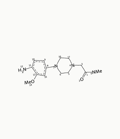 CNC(=O)CN1CCN(c2ccc(N)c(OC)c2)CC1